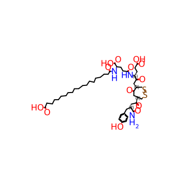 NC(=O)[C@@H](CC(=O)[C@@H]1CSSC[C@H](CC(=O)[C@H](CCC(=O)O)NC(=O)CCC(NC(=O)CCCCCCCCCCCCCCCCCCC(=O)O)C(=O)O)C(=O)C1)Cc1ccc(O)cc1